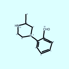 CC1CN(c2ccccc2C=O)CCN1